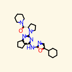 O=C([C@@H]1CCCN1c1nc2c(c(Nc3ncc(C4CCCCC4)o3)n1)CCC2)N1CCCCC1